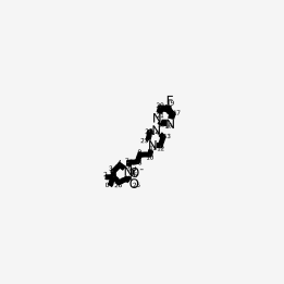 CC1(C)CC[N+]([O-])(CCCCN2CCN(c3ncc(F)cn3)CC2)C(=O)C1